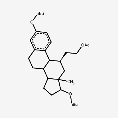 CCCCOc1ccc2c(c1)CCC1C2[C@@H](CCOC(C)=O)CC2(C)C(OCCCC)CCC12